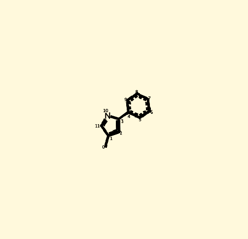 CC1=C=C(c2ccccc2)N=C1